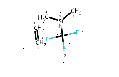 C=C.C[SiH](C)C(F)(F)F